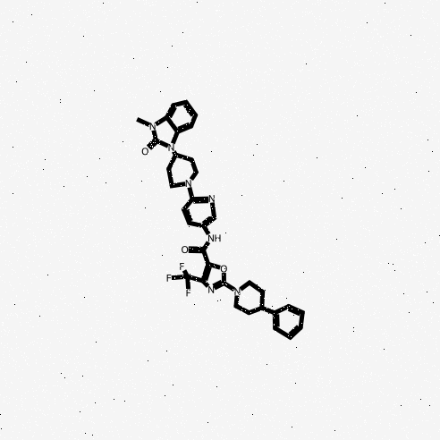 Cn1c(=O)n(C2CCN(c3ccc(NC(=O)c4oc(N5CCC(c6ccccc6)CC5)nc4C(F)(F)F)cn3)CC2)c2ccccc21